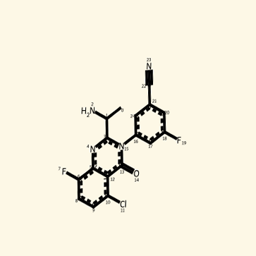 CC(N)c1nc2c(F)ccc(Cl)c2c(=O)n1-c1cc(F)cc(C#N)c1